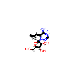 C=C/C=C1/C(N)=NC=NN1[C@]1(C#N)O[C@H](CO)[C@@H](O)[C@H]1O